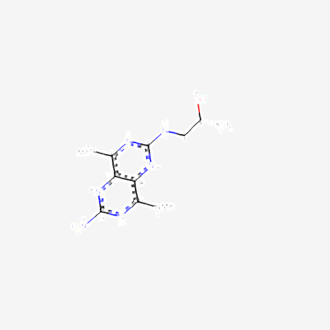 CNc1nc(NC[C@@H](C)O)nc2c(NC)nc(N)nc12